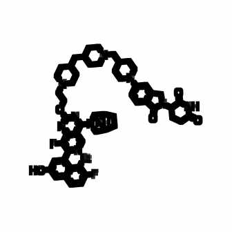 CCc1c(F)ccc2cc(O)cc(-c3ncc4c(N5CC6CCC(C5)N6)nc(OCCN5CCC(CC6CCN(CC7CCN(c8ccc9c(c8)CN(C8CCC(=O)NC8=O)C9=O)CC7)CC6)CC5)nc4c3F)c12